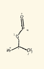 CC(C)C(C)OP=O